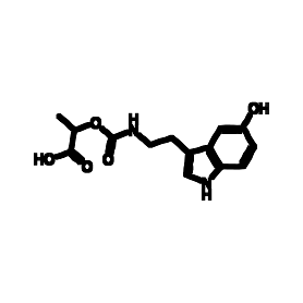 CC(OC(=O)NCCc1c[nH]c2ccc(O)cc12)C(=O)O